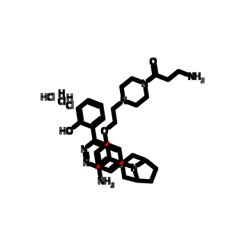 Cl.Cl.Cl.NCCC(=O)N1CCN(CCOc2cccc(N3C4CCC3CN(c3cc(-c5ccccc5O)nnc3N)C4)c2)CC1